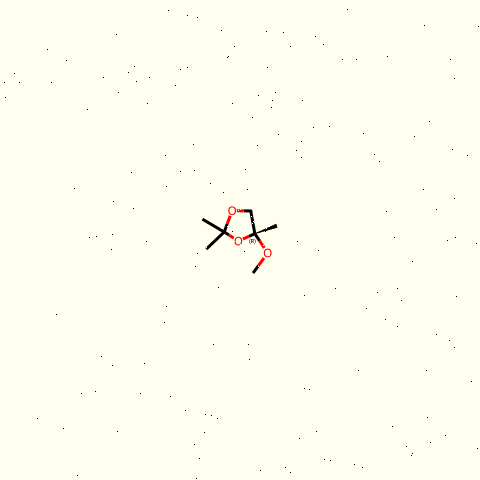 CO[C@@]1(C)COC(C)(C)O1